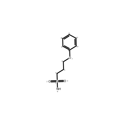 [NH]S(=O)(=O)CCCOc1ccccc1